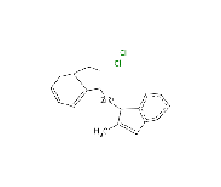 CC1=Cc2ccccc2[CH]1[Zr+2][CH]1CCC2CC=CC=C21.[Cl-].[Cl-]